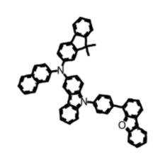 CC1(C)c2ccccc2-c2ccc(N(c3ccc4ccccc4c3)c3ccc4c(c3)c3ccccc3n4-c3ccc(-c4cccc5c4oc4ccccc45)cc3)cc21